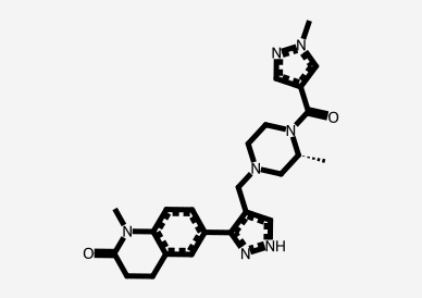 C[C@@H]1CN(Cc2c[nH]nc2-c2ccc3c(c2)CCC(=O)N3C)CCN1C(=O)c1cnn(C)c1